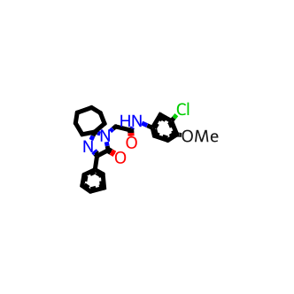 COc1ccc(NC(=O)CN2C(=O)C(c3ccccc3)=NC23CCCCCC3)cc1Cl